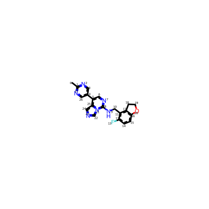 Cc1ncc(-c2cnc(NCc3c(F)ccc4c3CCO4)n3cncc23)cn1